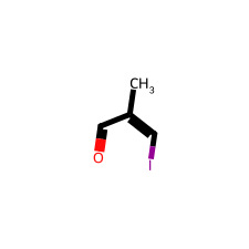 CC(C=O)=CI